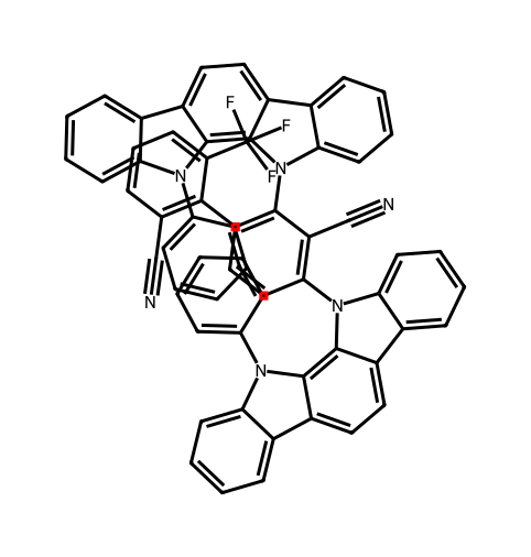 N#Cc1cccc(C(F)(F)F)c1-c1ccc(-n2c3ccccc3c3ccc4c5ccccc5n(-c5ccccc5)c4c32)c(C#N)c1-n1c2ccccc2c2ccc3c4ccccc4n(-c4ccccc4)c3c21